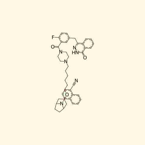 N#Cc1ccc(N2C3CCC2CC(OCCCCCCN2CCN(C(=O)c4cc(Cc5n[nH]c(=O)c6ccccc56)ccc4F)CC2)C3)c2ccccc12